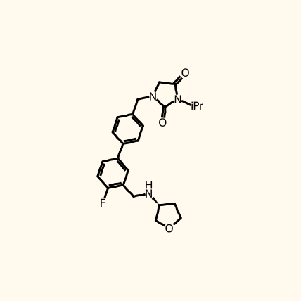 CC(C)N1C(=O)CN(Cc2ccc(-c3ccc(F)c(CN[C@H]4CCOC4)c3)cc2)C1=O